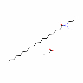 CC(=O)O.CCCCCCCCCCCCCCCCCC(=O)N(N)CCC